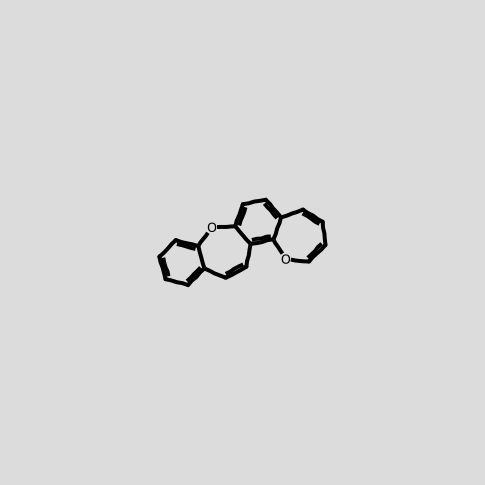 c1ccc2ccc3oc4ccccc4ccc3c2oc1